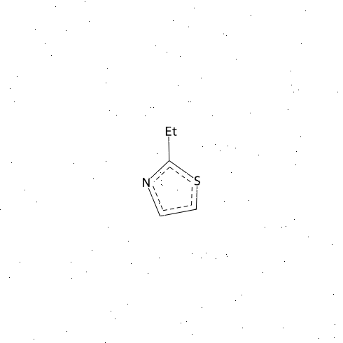 CCc1nccs1